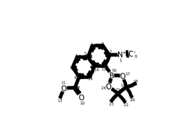 [C-]#[N+]c1ccc2ccc(C(=O)OC)cc2c1B1OC(C)(C)C(C)(C)O1